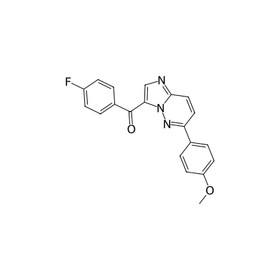 COc1ccc(-c2ccc3ncc(C(=O)c4ccc(F)cc4)n3n2)cc1